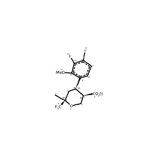 CCOC(=O)[C@H]1CO[C@@](C)(C(F)(F)F)C[C@H]1c1ccc(F)c(F)c1OC